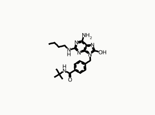 CCCCNc1nc(N)c2nc(O)n(Cc3ccc(C(=O)NC(C)(C)C)cc3)c2n1